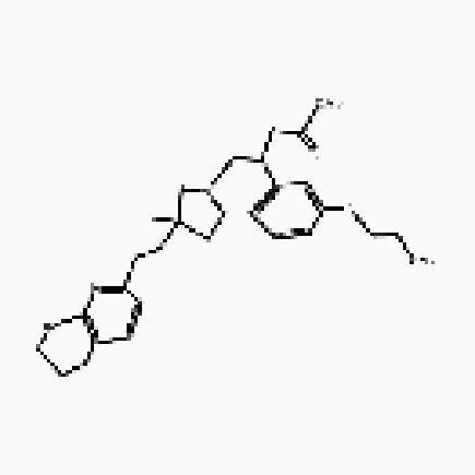 COCCOc1cccc(C(CC(=O)OC)CN2CCC(F)(CCc3ccc4c(n3)NCCC4)C2)c1